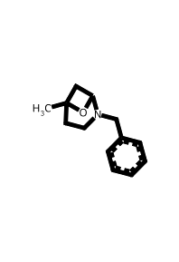 CC12CCN(Cc3ccccc3)C(C1)O2